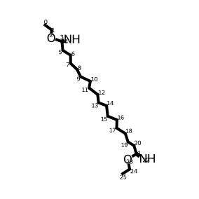 CCOC(=N)CCCCCCCCCCCCCCCCC(=N)OCC